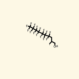 OCC(I)CC(F)(F)C(F)(F)C(F)(F)C(F)(F)C(F)(F)C(F)(F)C(F)(F)F